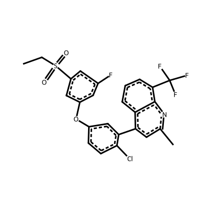 CCS(=O)(=O)c1cc(F)cc(Oc2ccc(Cl)c(-c3cc(C)nc4c(C(F)(F)F)cccc34)c2)c1